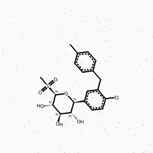 Cc1ccc(Cc2cc([C@@H]3O[C@H](S(C)(=O)=O)[C@@H](O)[C@H](O)[C@H]3O)ccc2Cl)cc1